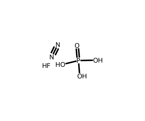 F.N#N.O=P(O)(O)O